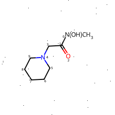 CN(O)C(=O)CN1CC[CH]CC1